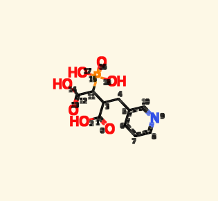 O=C(O)C(Cc1cccnc1)C(C(=O)O)P(=O)(O)O